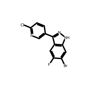 Fc1cc2c(-c3ccc(Cl)nc3)n[nH]c2cc1Br